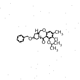 Cc1cc2c(c(OC(C)C)c1Cl)C(=O)N1C[C@@H](OCc3ccccc3)C[C@@H]1CO2